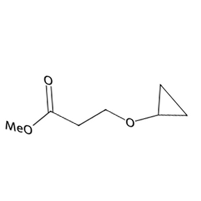 COC(=O)CCOC1CC1